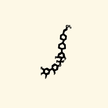 C/C=C/C1CCC(C2CCC(c3cc(F)c(C(F)(F)Oc4ccc(-c5cc(F)c(F)c(F)c5)c(F)c4)c(F)c3)CC2)CC1